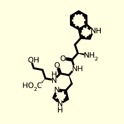 N[C@H](Cc1c[nH]c2ccccc12)C(=O)N[C@@H](Cc1c[nH]cn1)C(=O)N[C@@H](CCO)C(=O)O